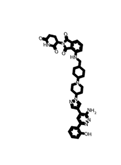 Nc1nnc(-c2ccccc2O)cc1-c1cnn(C2CCN(C3CCC(CNc4cccc5c4C(=O)N(C4CCC(=O)NC4=O)C5=O)CC3)CC2)c1